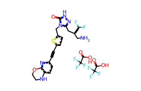 NCC(Cc1n[nH]c(=O)n1Cc1ccc(C#Cc2ccc3c(n2)OCCN3)s1)=C(F)F.O=C(O)C(F)(F)F.O=C(O)C(F)(F)F